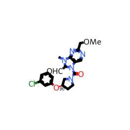 COCc1ncc2c(n1)N(C)C(C=O)N2C(=O)N1CC[C@@H](Oc2cccc(Cl)c2)C1